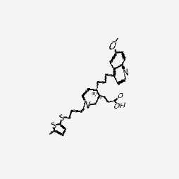 COc1ccc2nccc(CCC[C@@H]3CCN(CCCSc4ccc(C)s4)C[C@@H]3CCC(=O)O)c2c1